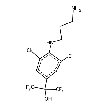 NCCCNc1c(Cl)cc(C(O)(C(F)(F)F)C(F)(F)F)cc1Cl